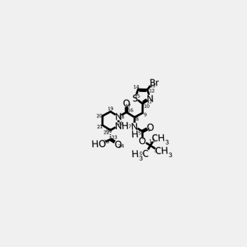 CC(C)(C)OC(=O)NC(Cc1nc(Br)cs1)C(=O)N1CCC[C@@H](C(=O)O)N1